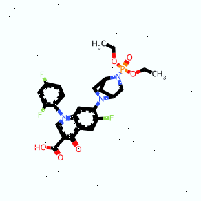 CCOP(=O)(OCC)N1CC2CC1CN2c1cc2c(cc1F)c(=O)c(C(=O)O)cn2-c1ccc(F)cc1F